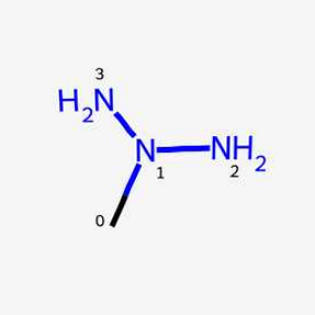 CN(N)N